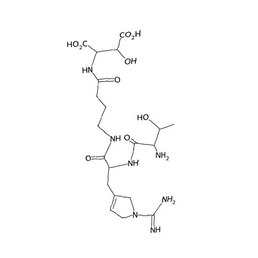 CC(O)C(N)C(=O)NC(CC1=CCN(C(=N)N)C1)C(=O)NCCCC(=O)NC(C(=O)O)C(O)C(=O)O